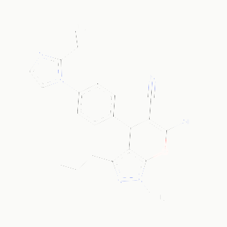 CCCc1nn(C)c2c1C(c1ccc(-n3ccnc3CC)cc1)C(C#N)=C(N)O2